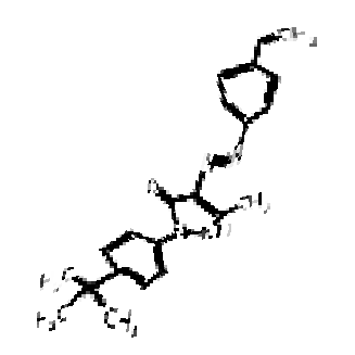 C=Cc1ccc(/N=N/c2c(C)[nH]n(-c3ccc(C(C)(C)C)cc3)c2=O)cc1